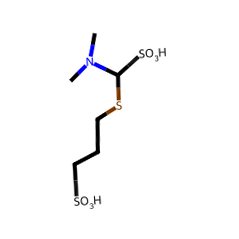 CN(C)C(SCCCS(=O)(=O)O)S(=O)(=O)O